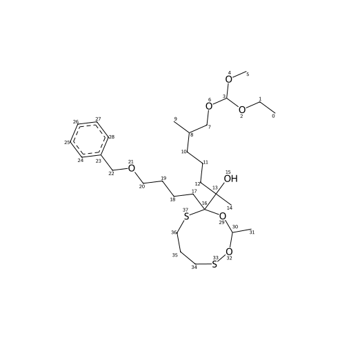 CCOC(OC)OCC(C)CCCC(C)(O)C1(CCCCOCc2ccccc2)OC(C)OSCCCS1